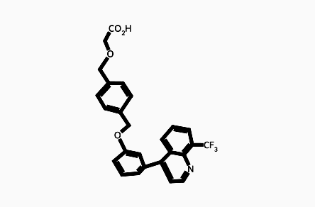 O=C(O)COCc1ccc(COc2cccc(-c3ccnc4c(C(F)(F)F)cccc34)c2)cc1